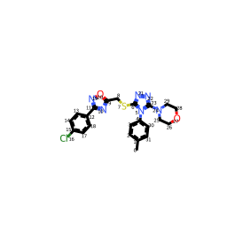 Cc1ccc(-n2c(SCc3nc(-c4ccc(Cl)cc4)no3)nnc2N2CCOCC2)cc1